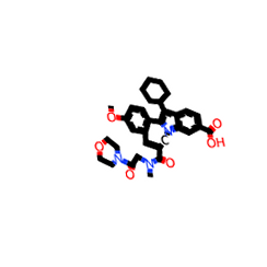 COc1ccc2c(c1)C=C(C(=O)N(C)CC(=O)N1CCOCC1)Cn1c-2c(C2CCCCC2)c2ccc(C(=O)O)cc21